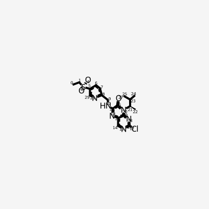 CCS(=O)(=O)c1ccc(CNc2nc3cnc(Cl)nc3n([C@H](C)C(C)C)c2=O)nc1